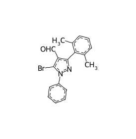 Cc1cccc(C)c1-c1nn(-c2ccccc2)c(Br)c1C=O